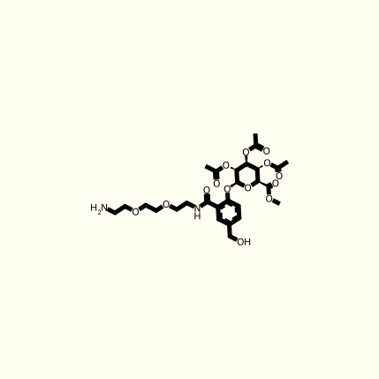 COC(=O)[C@H]1O[C@@H](Oc2ccc(CO)cc2C(=O)NCCOCCOCCN)[C@H](OC(C)=O)[C@@H](OC(C)=O)[C@@H]1OC(C)=O